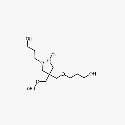 CCCCOCC(COCC)(COCCCO)COCCCO